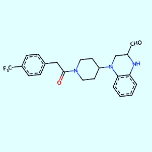 O=CC1CN(C2CCN(C(=O)Cc3ccc(C(F)(F)F)cc3)CC2)c2ccccc2N1